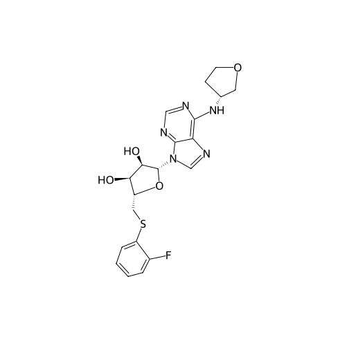 O[C@@H]1[C@H](O)[C@@H](CSc2ccccc2F)O[C@H]1n1cnc2c(N[C@@H]3CCOC3)ncnc21